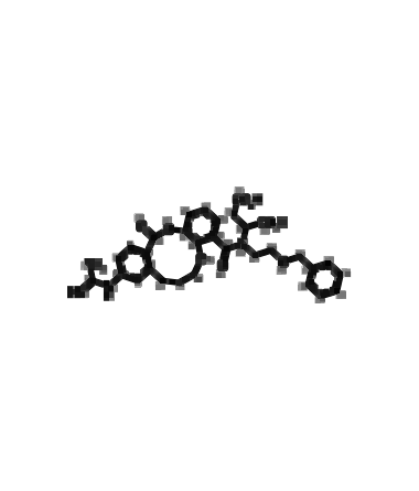 N=C(N)Nc1ccc2c(c1)CCCOc1c(cccc1C(=O)N(CCOCc1ccccc1)C(CC(=O)O)C(=O)O)OC2=O